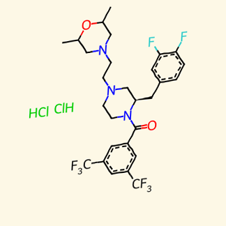 CC1CN(CCN2CCN(C(=O)c3cc(C(F)(F)F)cc(C(F)(F)F)c3)[C@H](Cc3ccc(F)c(F)c3)C2)CC(C)O1.Cl.Cl